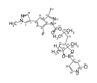 Cn1cc(-c2cc(F)c3c(c2)c(I)nn3C(=O)OC(C)(C)CCC2(C)OB(c3ccnc(Cl)c3)OC2(C)C)cn1